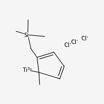 C[C]1([Ti+3])C=CC=C1C[Si](C)(C)C.[Cl-].[Cl-].[Cl-]